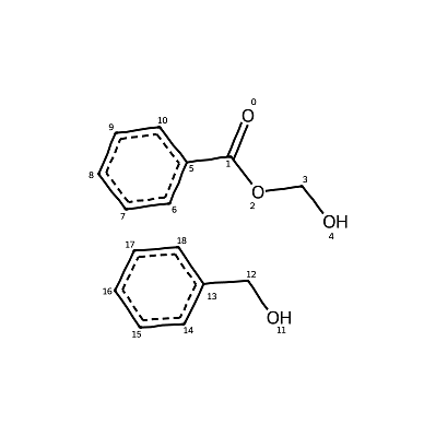 O=C(OCO)c1ccccc1.OCc1ccccc1